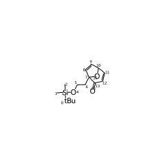 CC(C)(C)[Si](C)(C)OCCC12C=CC(C=CC1=O)O2